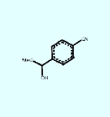 COC(O)c1ccc(C#N)cc1